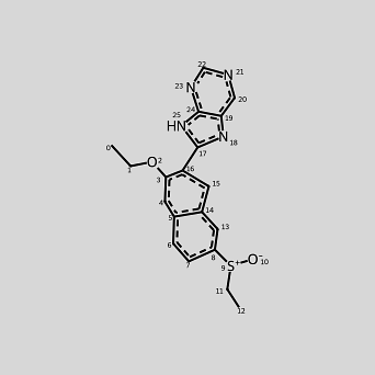 CCOc1cc2ccc([S+]([O-])CC)cc2cc1-c1nc2cncnc2[nH]1